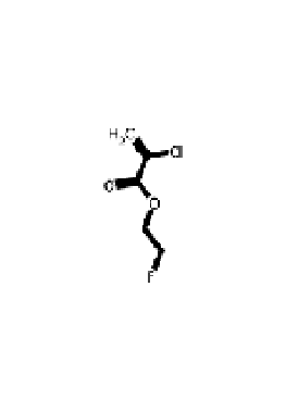 C=C(Cl)C(=O)OCCF